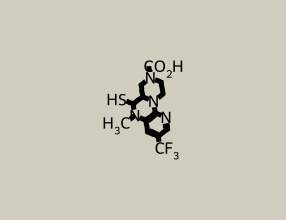 CN1c2cc(C(F)(F)F)cnc2N2CCN(C(=O)O)CC2C1S